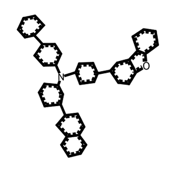 c1ccc(-c2ccc(N(c3ccc(-c4ccc5oc6ccccc6c5c4)cc3)c3cccc(-c4ccc5ccccc5c4)c3)cc2)cc1